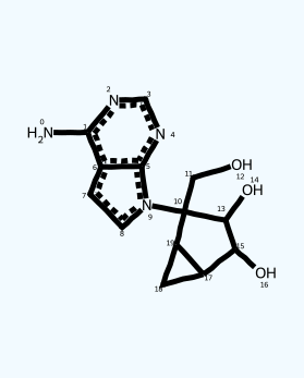 Nc1ncnc2c1ccn2C1(CO)C(O)C(O)C2CC21